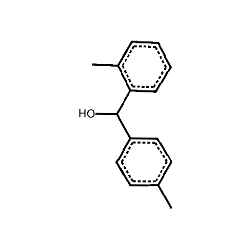 Cc1ccc(C(O)c2ccccc2C)cc1